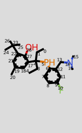 CCC(CC)(Pc1ccc(F)cc1CN(C)C)c1cc(C)cc(C(C)(C)C)c1O